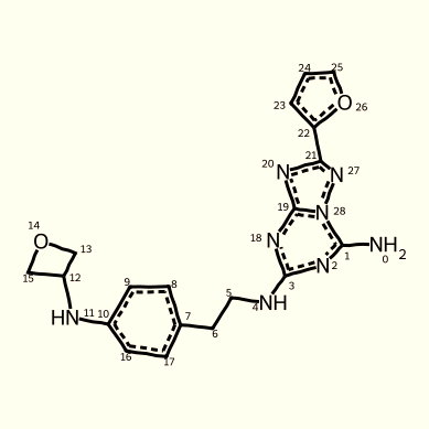 Nc1nc(NCCc2ccc(NC3COC3)cc2)nc2nc(-c3ccco3)nn12